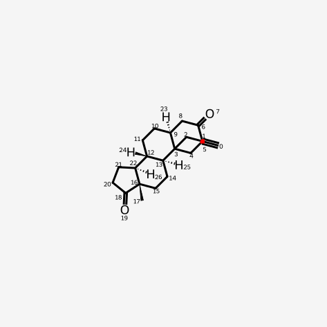 C#CCC12CCC(=O)C[C@@H]1CC[C@@H]1[C@@H]2CC[C@]2(C)C(=O)CC[C@@H]12